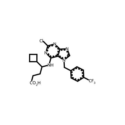 O=C(O)CCC(Nc1nc(Cl)nc2ncn(Cc3ccc(C(F)(F)F)cc3)c12)C1CCC1